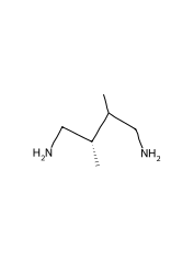 CC(CN)[C@H](C)CN